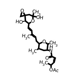 CC(=O)OC(C)/C=C\C(=O)NC1CC(C)C(C/C=C(C)/C=C/C2OC(C)(O)CC3(CO3)[C@@H]2O)OC1C